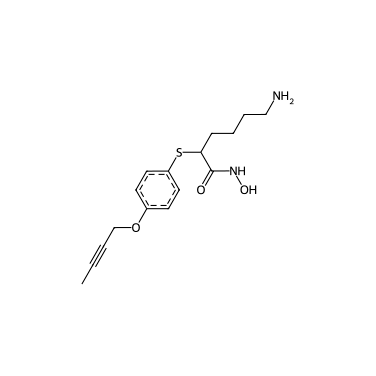 CC#CCOc1ccc(SC(CCCCN)C(=O)NO)cc1